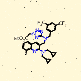 CCOC(=O)Cn1nnc(N(Cc2cc(C(F)(F)F)cc(C(F)(F)F)c2)Cc2cc3cccc(C)c3nc2N(CC2CC2)CC2CC2)n1